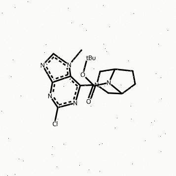 Cn1cnc2nc(Cl)nc(N3CC4CCC(C3)N4C(=O)OC(C)(C)C)c21